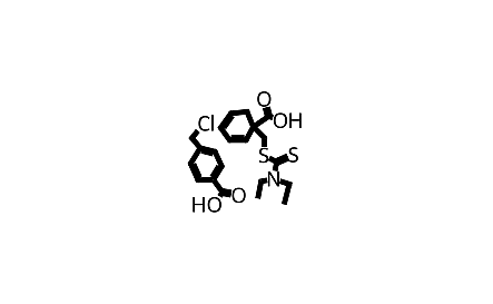 CCN(CC)C(=S)SCC1(C(=O)O)C=CC=CC1.O=C(O)c1ccc(CCl)cc1